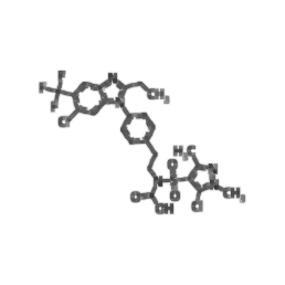 CCc1nc2cc(C(F)(F)F)c(Cl)cc2n1-c1ccc(CCN(C(=O)O)S(=O)(=O)c2c(C)nn(C)c2Cl)cc1